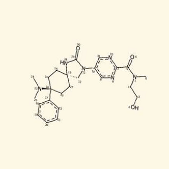 CN(CCO)C(=O)c1ncc(N2C[C@]3(CC[C@](c4ccccc4)(N(C)C)CC3)NC2=O)cn1